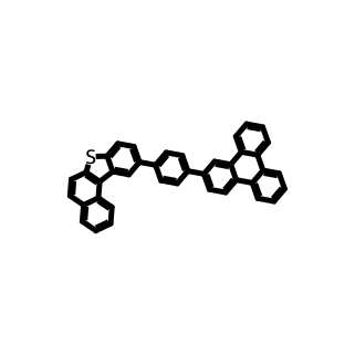 c1ccc2c(c1)ccc1sc3ccc(-c4ccc(-c5ccc6c7ccccc7c7ccccc7c6c5)cc4)cc3c12